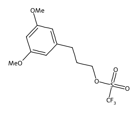 COc1cc(CCCOS(=O)(=O)C(F)(F)F)cc(OC)c1